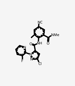 [C-]#[N+]c1cc(C)c(NC(=O)c2cc(Cl)nn2-c2ncccc2F)c(C(=O)NC)c1